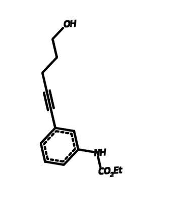 CCOC(=O)Nc1cccc(C#CCCCO)c1